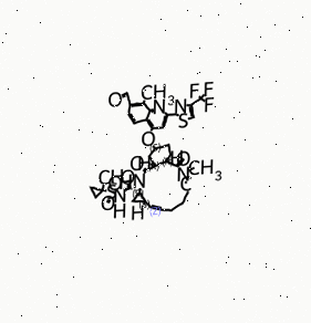 Cc1c(C=O)ccc2c(O[C@H]3CC[C@H]4C(=O)N(C)CCCC/C=C\[C@@H]5C[C@@]5(C(=O)NS(=O)(=O)C5(C)CC5)NC(=O)[C@@H]4C3)cc(-c3nc(C(F)(F)F)cs3)nc12